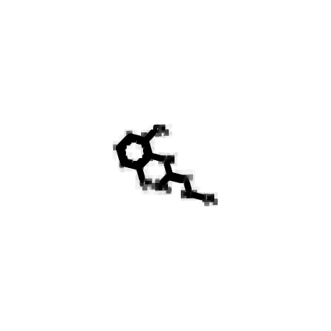 CN/N=C(\N)Nc1c(C)cccc1C